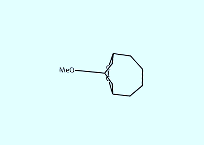 COC1CC2CCCCC(CC2)C1